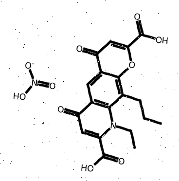 CCCc1c2oc(C(=O)O)cc(=O)c2cc2c(=O)cc(C(=O)O)n(CC)c12.O=[N+]([O-])O